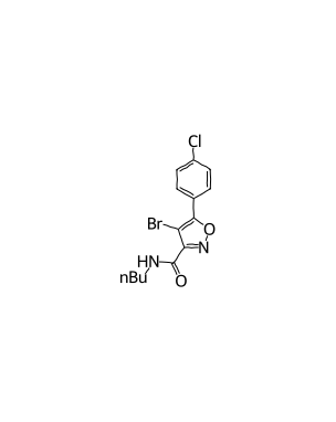 CCCCNC(=O)c1noc(-c2ccc(Cl)cc2)c1Br